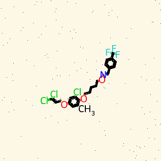 Cc1cc(OCC=C(Cl)Cl)cc(Cl)c1OCCCCCON=Cc1ccc(C(F)(F)F)cc1